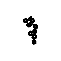 c1ccc(-c2ccc3c4ccc(-c5cccc(-n6c7ccccc7c7c8c(ccc76)ccn8-c6ccccc6)c5)cc4c4ccccc4c3c2)cc1